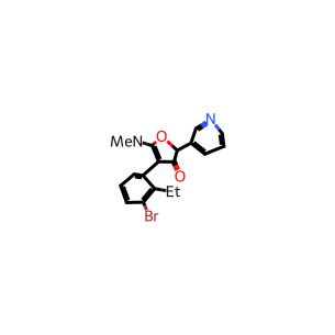 CCc1c(Br)cccc1C1=C(NC)OC(c2cccnc2)C1=O